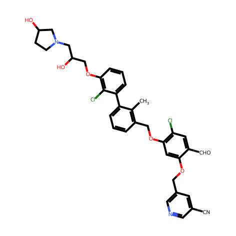 Cc1c(COc2cc(OCc3cncc(C#N)c3)c(C=O)cc2Cl)cccc1-c1cccc(OCC(O)CN2CCC(O)C2)c1Cl